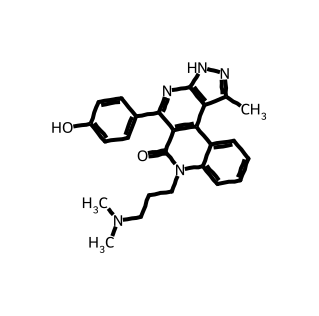 Cc1n[nH]c2nc(-c3ccc(O)cc3)c3c(=O)n(CCCN(C)C)c4ccccc4c3c12